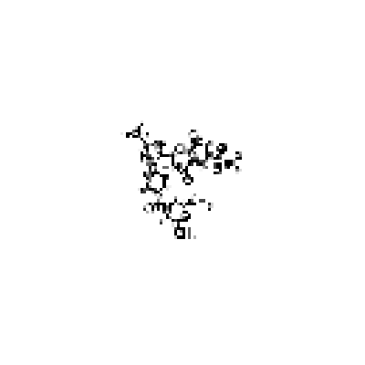 C[C@@H]1CN(C(=O)c2ccc(-n3nc(C4CC4)nc3[C@H](C)NC(=O)c3cc(Cl)cc(S(=O)(=O)C4CC4)c3)nc2)C[C@H](C)O1